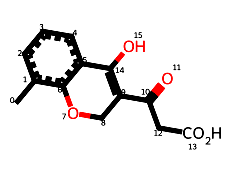 Cc1cccc2c1OCC(C(=O)CC(=O)O)=C2O